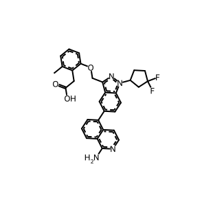 Cc1cccc(OCc2nn(C3CCC(F)(F)C3)c3ccc(-c4cccc5c(N)nccc45)cc23)c1CC(=O)O